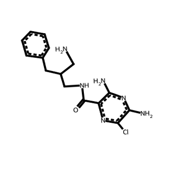 NCC(CNC(=O)c1nc(Cl)c(N)nc1N)Cc1ccccc1